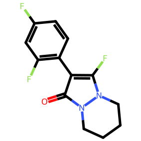 O=c1c(-c2ccc(F)cc2F)c(F)n2n1CCCC2